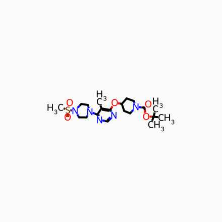 Cc1c(OC2CCN(C(=O)OC(C)(C)C)CC2)ncnc1N1CCN(S(C)(=O)=O)CC1